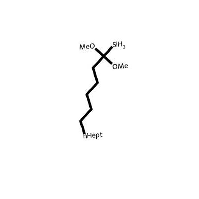 CCCCCCCCCCCCC([SiH3])(OC)OC